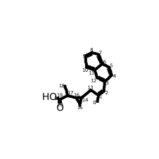 CC(=Cc1ccc2ccccc2c1)CC1CC1C(C)C(=O)O